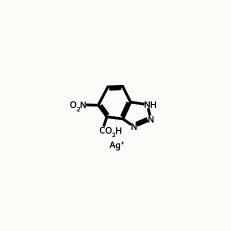 O=C(O)c1c([N+](=O)[O-])ccc2[nH]nnc12.[Ag+]